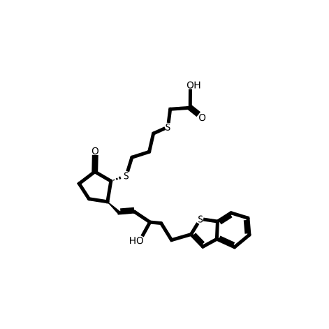 O=C(O)CSCCCS[C@H]1C(=O)CC[C@@H]1/C=C/C(O)CCc1cc2ccccc2s1